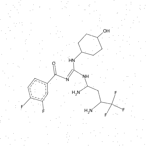 NC(CC(N)C(F)(F)F)N/C(=N/C(=O)c1ccc(F)c(F)c1)NC1CCC(O)CC1